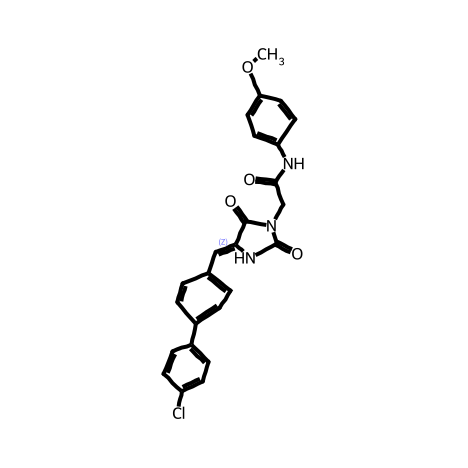 COc1ccc(NC(=O)CN2C(=O)N/C(=C\c3ccc(-c4ccc(Cl)cc4)cc3)C2=O)cc1